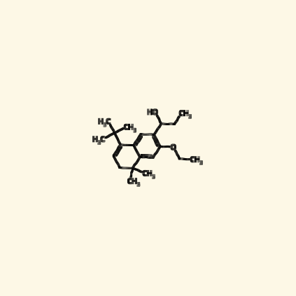 CCOc1cc2c(cc1C(O)CC)C(C(C)(C)C)=CCC2(C)C